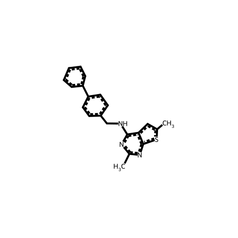 Cc1nc(NCc2ccc(-c3ccccc3)cc2)c2cc(C)sc2n1